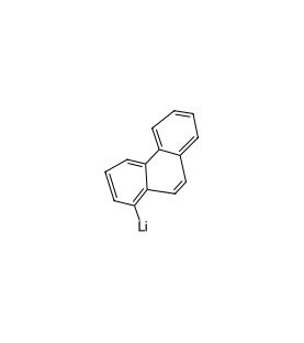 [Li][c]1cccc2c1ccc1ccccc12